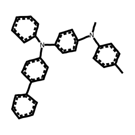 Cc1ccc(N(C)c2ccc(N(c3ccccc3)c3ccc(-c4ccccc4)cc3)cc2)cc1